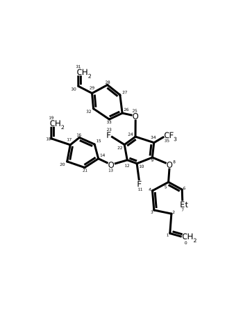 C=CC/C=C\C(=C/CC)Oc1c(F)c(Oc2ccc(C=C)cc2)c(F)c(Oc2ccc(C=C)cc2)c1C(F)(F)F